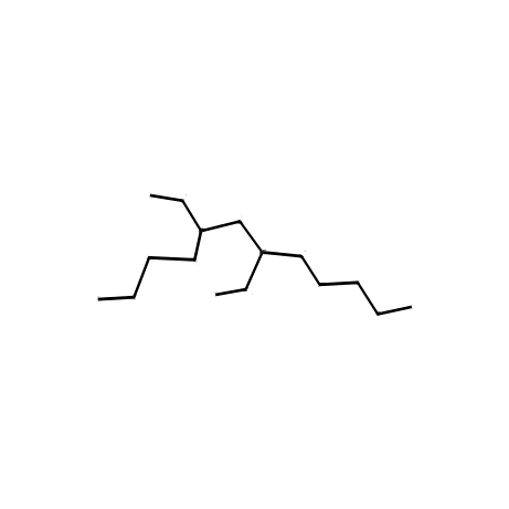 CCCCCC([CH]C(CC)CCCC)CC